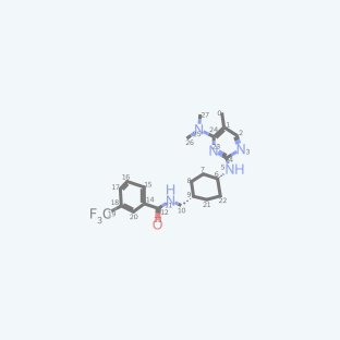 Cc1cnc(N[C@H]2CC[C@@H](CNC(=O)c3cccc(C(F)(F)F)c3)CC2)nc1N(C)C